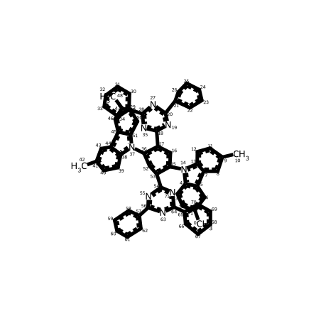 Cc1ccc2c(c1)c1cc(C)ccc1n2-c1cc(-c2nc(-c3ccccc3)nc(-c3ccccc3)n2)c(-n2c3ccc(C)cc3c3cc(C)ccc32)cc1-c1nc(-c2ccccc2)nc(-c2ccccc2)n1